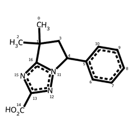 CC1(C)CC(c2ccccc2)n2nc(C(=O)O)nc21